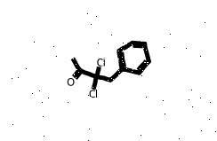 CC(=O)C(Cl)(Cl)Cc1ccccc1